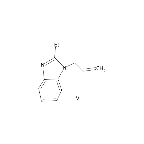 C=CCn1c(CC)nc2ccccc21.[V]